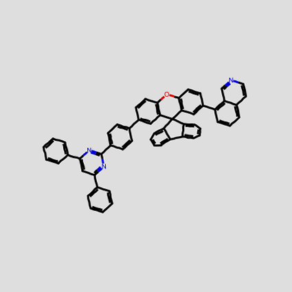 c1ccc(-c2cc(-c3ccccc3)nc(-c3ccc(-c4ccc5c(c4)C4(c6cc(-c7cccc8ccncc78)ccc6O5)c5ccccc5-c5ccccc54)cc3)n2)cc1